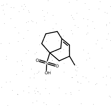 CC1C=C2CCCC(S(=O)(=O)O)(C2)C1